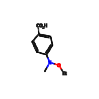 CCON(C)c1ccc(C(=O)O)cc1